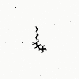 CCOCCOC(=O)C(C)(C)CC(C)(C)C